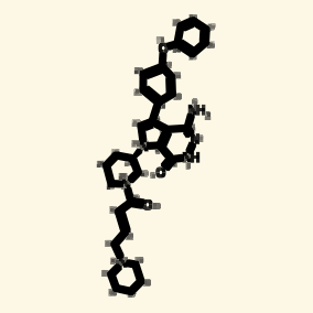 Nc1n[nH]c(=O)c2c1c(-c1ccc(Oc3ccccc3)cc1)cn2[C@@H]1CCCN(C(=O)/C=C/CN2CCCCC2)C1